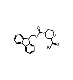 O=C(O)C1CN(C(=O)OCC2c3ccccc3-c3ccccc32)CCO1